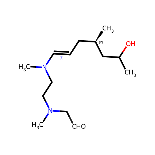 CC(O)C[C@H](C)C/C=C/N(C)CCN(C)CC=O